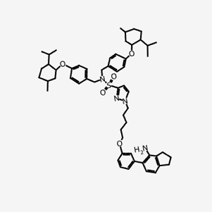 CC1CCC(C(C)C)C(Oc2ccc(CN(Cc3ccc(OC4CC(C)CCC4C(C)C)cc3)S(=O)(=O)c3ccn(CCCCCOc4cccc(-c5ccc6c(c5N)CCC6)c4)n3)cc2)C1